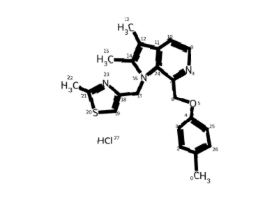 Cc1ccc(OCc2nccc3c(C)c(C)n(Cc4csc(C)n4)c23)cc1.Cl